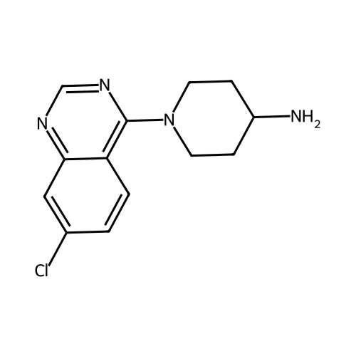 NC1CCN(c2ncnc3cc(Cl)ccc23)CC1